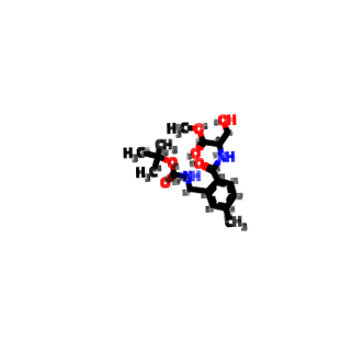 COC(=O)C(CO)NC(=O)c1ccc(C)cc1CNC(=O)OC(C)(C)C